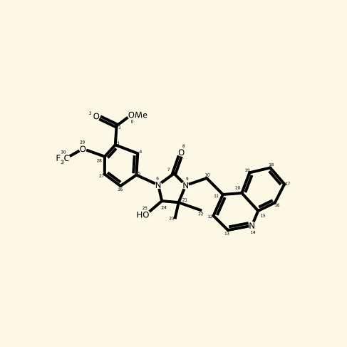 COC(=O)c1cc(N2C(=O)N(Cc3ccnc4ccccc34)C(C)(C)C2O)ccc1OC(F)(F)F